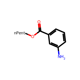 CCCCCOC(=O)c1cccc(N)c1